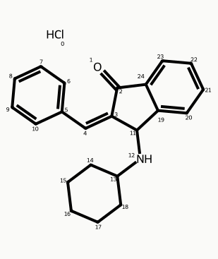 Cl.O=C1/C(=C\c2ccccc2)C(NC2CCCCC2)c2ccccc21